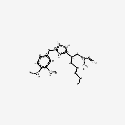 CCCCCC(CN(O)C=O)c1nnc(Cc2ccc(OC)c(OC)c2)o1